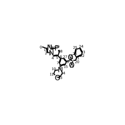 Cc1cn2cc(-c3cc(N4CCOCC4)cc(S(=O)(=O)Cc4ccccc4)c3)cpc2n1